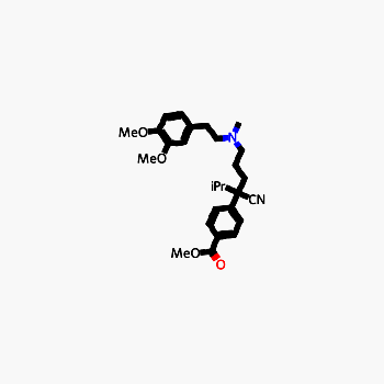 COC(=O)c1ccc(C(C#N)(CCCN(C)CCc2ccc(OC)c(OC)c2)C(C)C)cc1